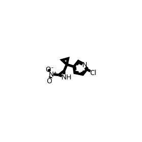 O=[N+]([O-])C1NC1C1(c2ccc(Cl)nc2)CC1